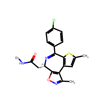 CCNC(=O)C[C@@H]1N=C(c2ccc(Cl)cc2)c2sc(C)cc2-c2c(C)noc21